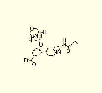 CCC(=O)c1ccc(OC2C[C@H]3COC[C@@H](C2)N3)c(-c2ccn3nc(NC(=O)C4CC4)cc3c2)c1